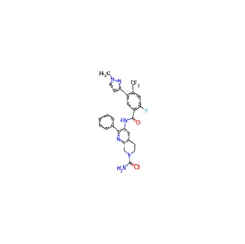 Cn1ccc(-c2cc(C(=O)Nc3cc4c(nc3-c3ccccc3)CN(C(N)=O)CC4)c(F)cc2C(F)(F)F)n1